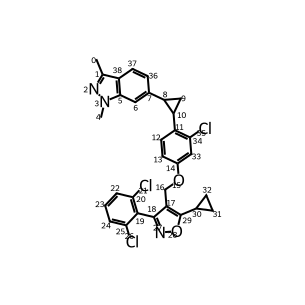 Cc1nn(C)c2cc(C3CC3c3ccc(OCc4c(-c5c(Cl)cccc5Cl)noc4C4CC4)cc3Cl)ccc12